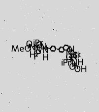 COC(=O)N[C@H](C(=O)N1CC(F)C[C@H]1c1ncc(-c2ccc(-c3ccc4c(ccc5nc([C@@H]6C[Si](C)(C)CN6C(=O)[C@@H](NC(=O)CO)C(C)C)[nH]c54)c3)cc2)[nH]1)C(C)C